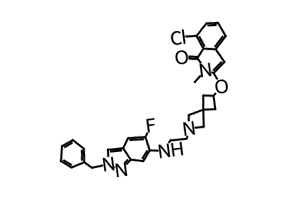 Cn1c(OC2CC3(C2)CN(CCNc2cc4nn(Cc5ccccc5)cc4cc2F)C3)cc2cccc(Cl)c2c1=O